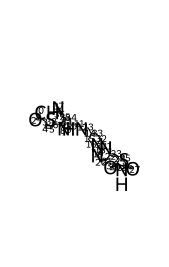 CC(=O)c1ccc(-c2ncc(CNCC3CCN(c4nccc(C=C5SC(=O)NC5=O)n4)CC3)cc2C#N)s1